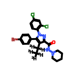 [2H]C([2H])([2H])C([2H])([2H])c1c(C(=O)NN2CCCCC2)nn(-c2ccc(Cl)cc2Cl)c1-c1ccc(Br)cc1